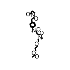 CC(=O)OCCCOCCN(C)C(=O)CC(=O)N(C)c1ccc(CC(=O)N2CCC2=O)cc1